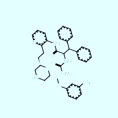 COC(=O)NC(C(=O)Nc1cccnc1CC[C@@H]1CNC[C@@H](COc2cccc(C#N)c2)O1)C(c1ccccc1)c1ccccc1